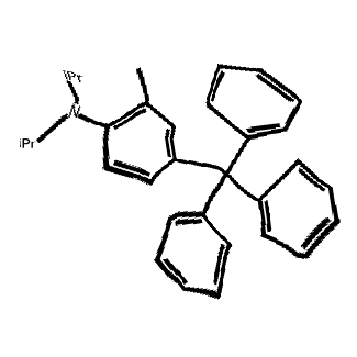 Cc1cc(C(c2ccccc2)(c2ccccc2)c2ccccc2)ccc1N(C(C)C)C(C)C